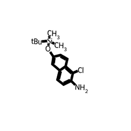 CC(C)(C)[Si](C)(C)Oc1ccc2c(Cl)c(N)ccc2c1